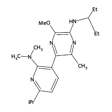 CCC(CC)Nc1nc(C)c(-c2ccc(C(C)C)nc2N(C)C)nc1OC